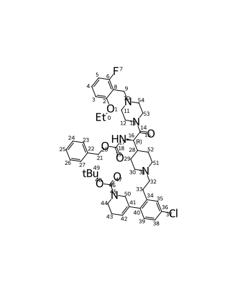 CCOc1cccc(F)c1CN1CCN(C(=O)[C@H](NC(=O)OCc2ccccc2)C2CCN(CCc3cc(Cl)ccc3C3=CCCN(C(=O)OC(C)(C)C)C3)CC2)CC1